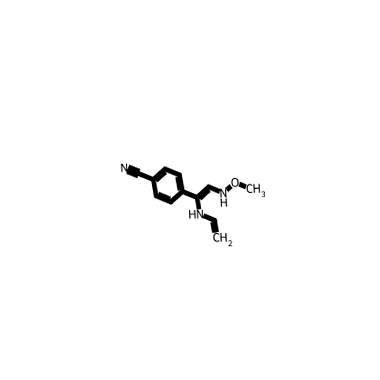 C=CN/C(=C\NOC)c1ccc(C#N)cc1